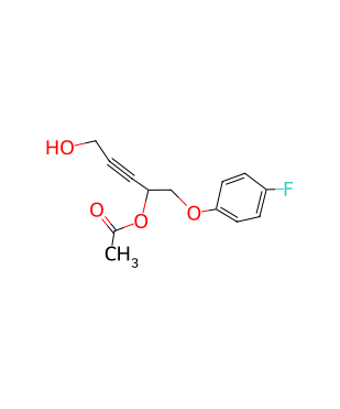 CC(=O)OC(C#CCO)COc1ccc(F)cc1